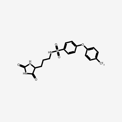 O=C1NC(=O)C(CCCNS(=O)(=O)c2ccc(Oc3ccc(C(F)(F)F)cc3)cc2)N1